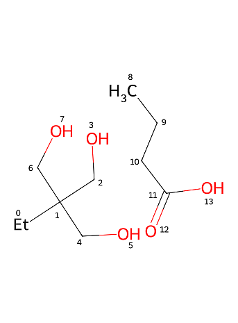 CCC(CO)(CO)CO.CCCC(=O)O